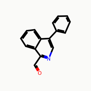 O=Cc1ncc(-c2ccccc2)c2ccccc12